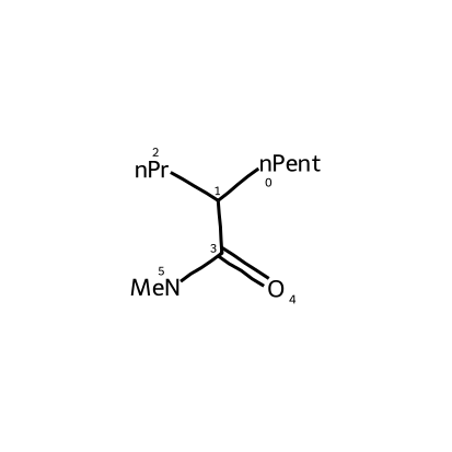 CCCCCC(CCC)C(=O)NC